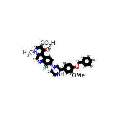 COc1cc(C2CN(c3ccc4c(ncc5c4c(=O)c(C(=O)O)cn5C)c3F)CCN2)ccc1OCc1ccccc1